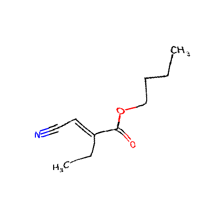 CCCCOC(=O)C(=CC#N)CC